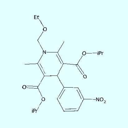 CCOCN1C(C)=C(C(=O)OC(C)C)C(c2cccc([N+](=O)[O-])c2)C(C(=O)OC(C)C)=C1C